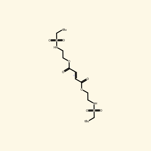 CC(C)(C)CS(=O)(=O)NCCOC(=O)/C=C/C(=O)OCCNS(=O)(=O)CC(C)(C)C